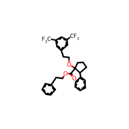 O=C(OCCc1ccccc1)C1(OCCc2cc(C(F)(F)F)cc(C(F)(F)F)c2)CCCC1c1ccccc1